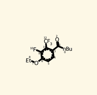 CCCCC(=O)c1ccc(OCC)c(F)c1C(F)(F)F